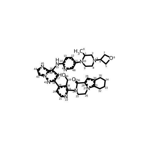 CC1CN(C2COC2)CCN1c1ccc(Nc2cc(-c3ccnc(N4CCn5c(cc6c5CCCC6)C4=O)c3CO)nn3ccnc23)nc1